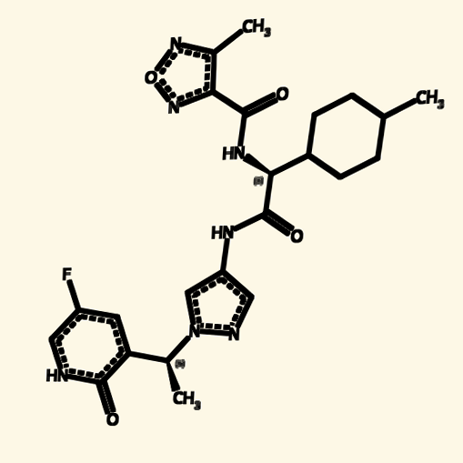 Cc1nonc1C(=O)N[C@H](C(=O)Nc1cnn([C@@H](C)c2cc(F)c[nH]c2=O)c1)C1CCC(C)CC1